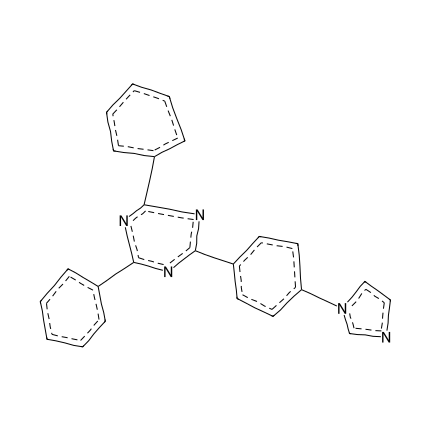 c1ccc(-c2nc(-c3ccccc3)nc(-c3ccc(-n4ccnc4)cc3)n2)cc1